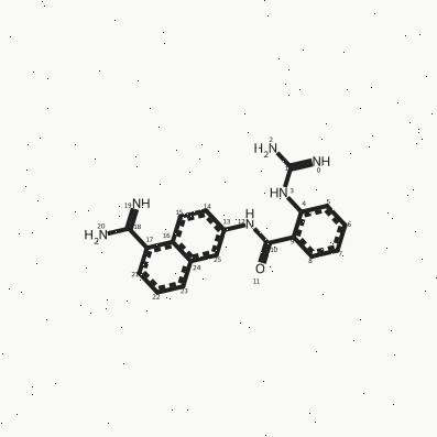 N=C(N)Nc1ccccc1C(=O)Nc1ccc2c(C(=N)N)cccc2c1